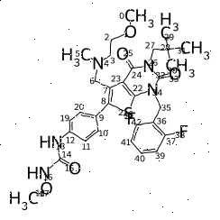 COCCN(C)Cc1c(-c2ccc(NC(=O)NOC)cc2)sc2c1c(=O)n(CC(C)(C)C)c(=O)n2Cc1c(F)cccc1F